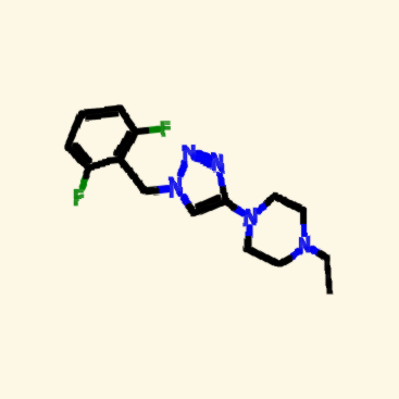 CCN1CCN(c2cn(Cc3c(F)cccc3F)nn2)CC1